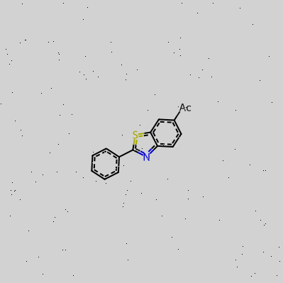 CC(=O)c1ccc2nc(-c3ccccc3)sc2c1